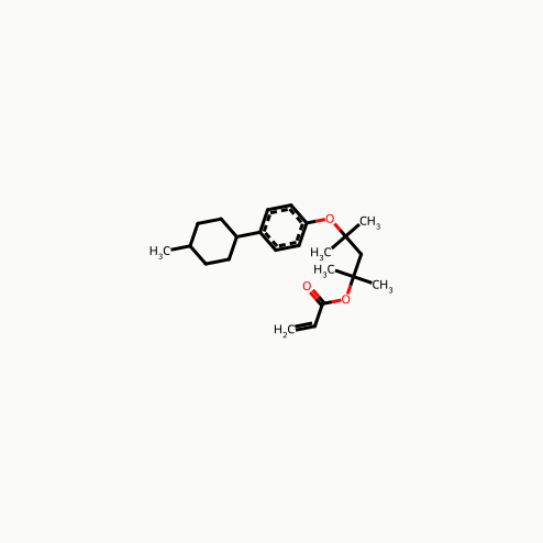 C=CC(=O)OC(C)(C)CC(C)(C)Oc1ccc(C2CCC(C)CC2)cc1